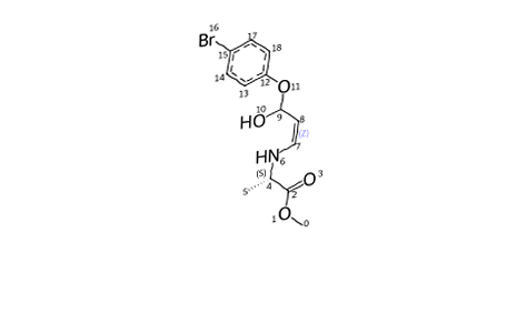 COC(=O)[C@H](C)N/C=C\C(O)Oc1ccc(Br)cc1